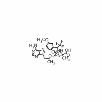 COc1cccc([C@H](NP(=O)(COC(C)Cn2cnc3c(N)ncnc32)NC(C)(C)C(=O)O)C(F)(F)F)c1